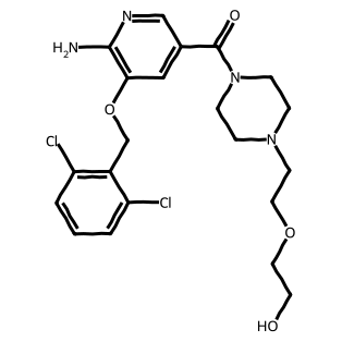 Nc1ncc(C(=O)N2CCN(CCOCCO)CC2)cc1OCc1c(Cl)cccc1Cl